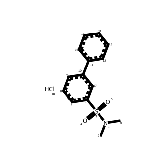 CN(C)S(=O)(=O)c1cccc(-c2ccccc2)c1.Cl